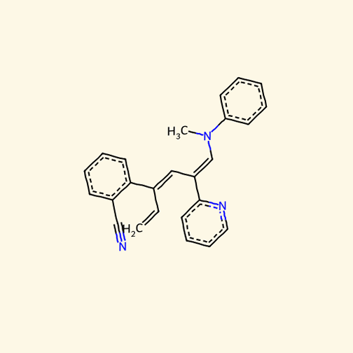 C=C/C(=C\C(=C/N(C)c1ccccc1)c1ccccn1)c1ccccc1C#N